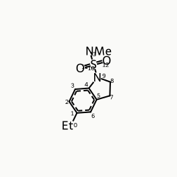 CCc1ccc2c(c1)CCN2S(=O)(=O)NC